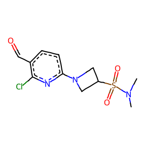 CN(C)S(=O)(=O)C1CN(c2ccc(C=O)c(Cl)n2)C1